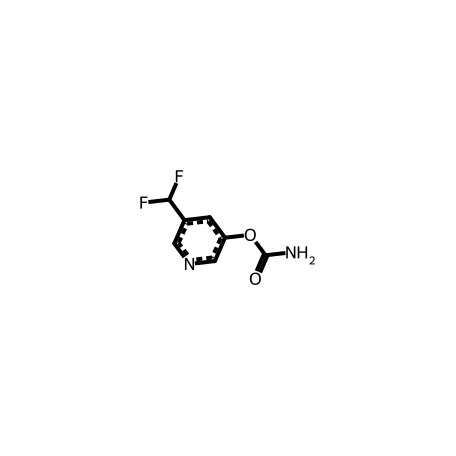 NC(=O)Oc1cncc(C(F)F)c1